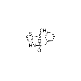 CSc1sccc1NS(=O)(=O)Cc1ccccc1